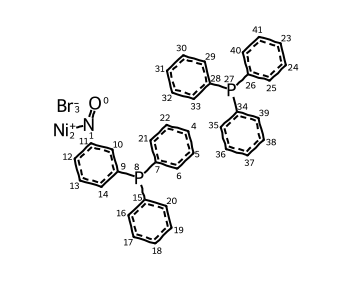 O=[N][Ni+].[Br-].c1ccc(P(c2ccccc2)c2ccccc2)cc1.c1ccc(P(c2ccccc2)c2ccccc2)cc1